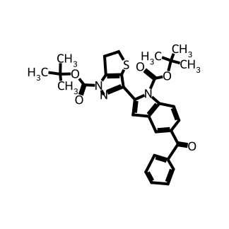 CC(C)(C)OC(=O)n1nc(-c2cc3cc(C(=O)c4ccccc4)ccc3n2C(=O)OC(C)(C)C)c2c1CCS2